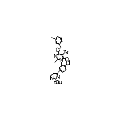 Cc1cccc(COc2nc(C)n(-c3cc(-c4ccnc(C(C)(C)C)n4)ccc3Cl)c(=O)c2Br)c1